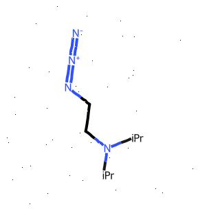 CC(C)N(CCN=[N+]=[N-])C(C)C